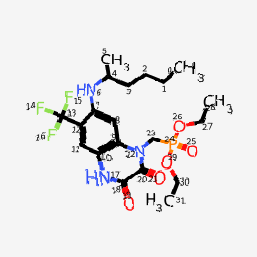 CCCCC(C)Nc1cc2c(cc1C(F)(F)F)[nH]c(=O)c(=O)n2CP(=O)(OCC)OCC